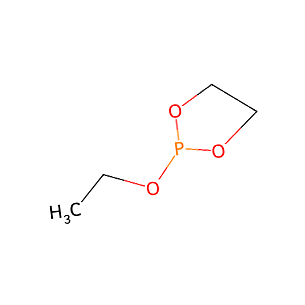 CCOP1OCCO1